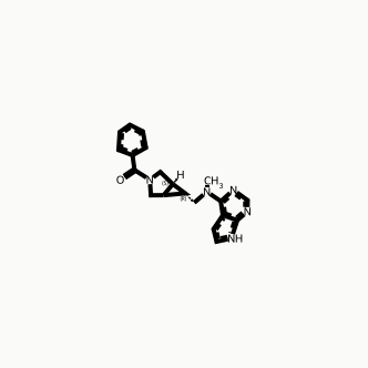 CN(C[C@@H]1C2CN(C(=O)c3ccccc3)C[C@H]21)c1ncnc2[nH]ccc12